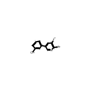 CC(C)c1ncc(-c2cccc(Cl)c2)cc1F